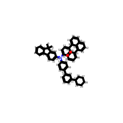 CC1(C)c2ccccc2-c2ccc(N(c3ccc(-c4cccc(C5CCCCC5)c4)cc3)c3ccc(-c4cccc5cccc(-c6ccccc6)c45)cc3)cc21